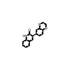 O=c1[nH]c2ccccc2cc1-c1ccc2nccnc2c1